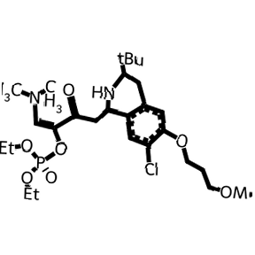 CCOP(=O)(OCC)OC(=CN(C)C)C(=O)CC1NC(C(C)(C)C)Cc2cc(OCCCOC)c(Cl)cc21